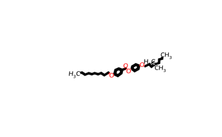 CCCCCCCCCCOc1ccc(C(=O)Oc2ccc(OCCC[Si](C)(C)CCCC)cc2)cc1